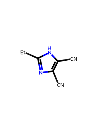 CCc1nc(C#N)c(C#N)[nH]1